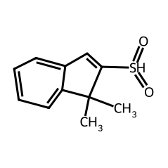 CC1(C)C([SH](=O)=O)=Cc2ccccc21